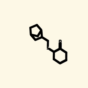 O=C1CCCCC1SCC1CC2CCC1C2